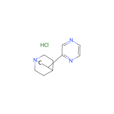 Cl.c1cnc(C2CN3CCC2CC3)cn1